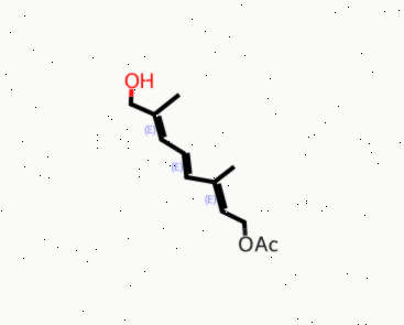 CC(=O)OC/C=C(C)/C=C/C=C(\C)CO